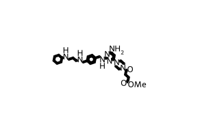 COC(=O)CCC(=O)N1CCN(c2cc(N)nc(NCc3ccc(CNCCCNC4CCCCC4)cc3)n2)CC1